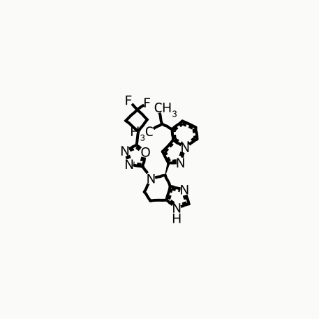 CC(C)c1cccn2nc([C@H]3c4nc[nH]c4CCN3c3nnc(C4CC(F)(F)C4)o3)cc12